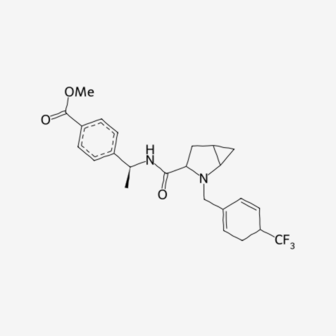 COC(=O)c1ccc([C@H](C)NC(=O)C2CC3CC3N2CC2=CCC(C(F)(F)F)C=C2)cc1